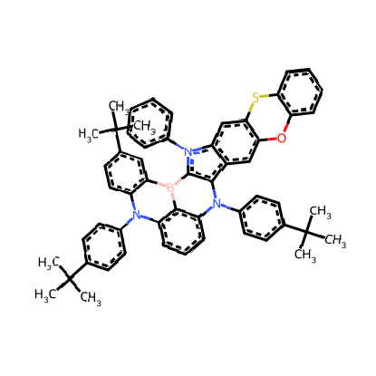 CC(C)(C)c1ccc(N2c3ccc(C(C)(C)C)cc3B3c4c2cccc4N(c2ccc(C(C)(C)C)cc2)c2c3n(-c3ccccc3)c3cc4c(cc23)Oc2ccccc2S4)cc1